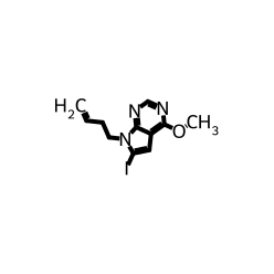 C=CCCn1c(I)cc2c(OC)ncnc21